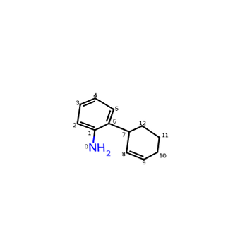 Nc1ccccc1C1C=CCCC1